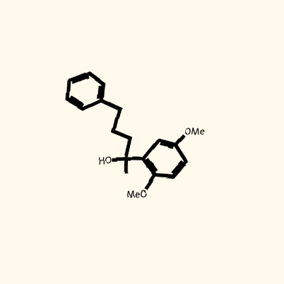 COc1ccc(OC)c(C(C)(O)CCCc2ccccc2)c1